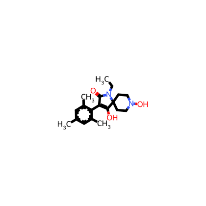 CCN1C(=O)C(c2c(C)cc(C)cc2C)=C(O)C12CCN(O)CC2